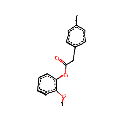 COc1ccccc1OC(=O)Cc1ccc(C)cc1